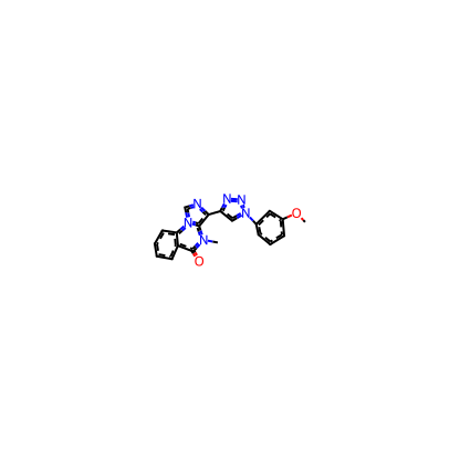 COc1cccc(-n2cc(-c3ncn4c5ccccc5c(=O)n(C)c34)nn2)c1